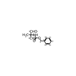 CC(C)([C]=O)NC(=O)OCc1ccccc1